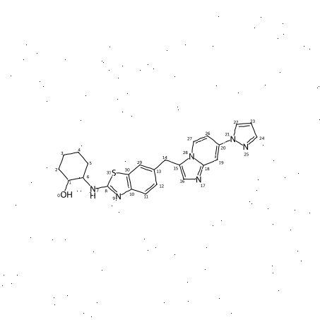 OC1CCCCC1Nc1nc2ccc(Cc3cnc4cc(-n5cccn5)ccn34)cc2s1